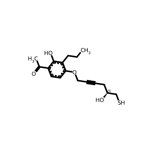 CCCc1c(OCC#CC[C@H](O)CS)ccc(C(C)=O)c1O